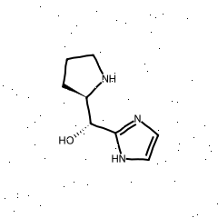 O[C@@H](c1ncc[nH]1)[C@H]1CCCN1